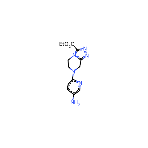 CCOC(=O)c1nnc2n1CCN(c1ccc(N)cn1)C2